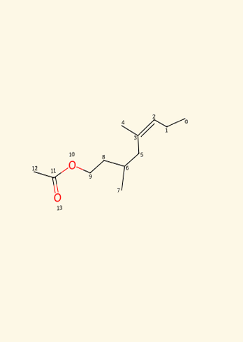 CCC=C(C)CC(C)CCOC(C)=O